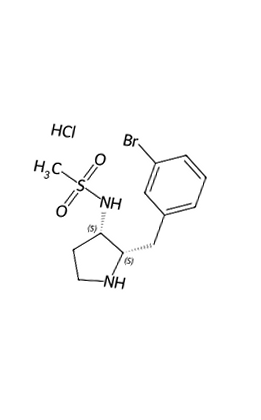 CS(=O)(=O)N[C@H]1CCN[C@H]1Cc1cccc(Br)c1.Cl